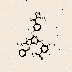 Cc1ccc(C(=N)N)cc1Oc1nc(Oc2cccc(C(=O)N(C)C)c2)c2nc(C)n(Cc3ccccc3)c2n1